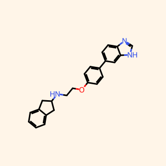 c1ccc2c(c1)CC(NCCOc1ccc(-c3ccc4nc[nH]c4c3)cc1)C2